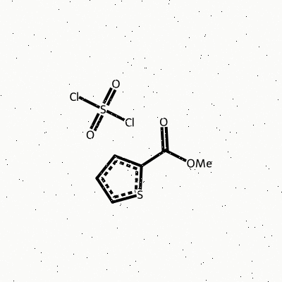 COC(=O)c1cccs1.O=S(=O)(Cl)Cl